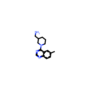 Cc1ccc2ncnc(N3CCCC(CN)C3)c2c1